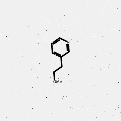 COCCc1cccnc1